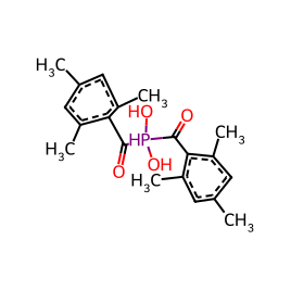 Cc1cc(C)c(C(=O)[PH](O)(O)C(=O)c2c(C)cc(C)cc2C)c(C)c1